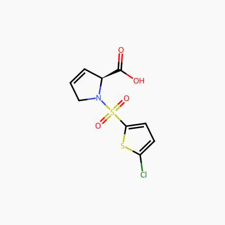 O=C(O)[C@@H]1C=CCN1S(=O)(=O)c1ccc(Cl)s1